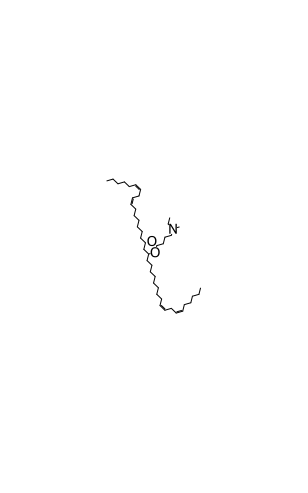 CCCCC/C=C\C/C=C\CCCCCCCCC(CCCCCCCC/C=C\C/C=C\CCCCC)OC(=O)CCCN(C)CC